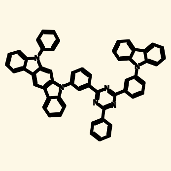 c1ccc(-c2nc(-c3cccc(-n4c5ccccc5c5ccccc54)c3)nc(-c3cccc(-n4c5ccccc5c5cc6c7ccccc7n(-c7ccccc7)c6cc54)c3)n2)cc1